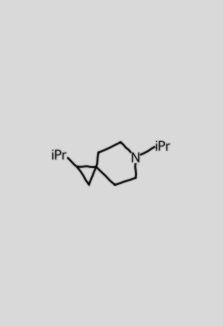 CC(C)C1CC12CCN(C(C)C)CC2